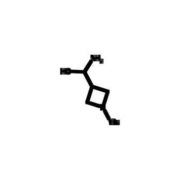 CC(C)(C)N1CC(C(N)O)C1